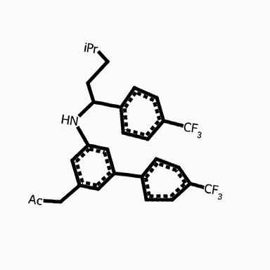 CC(=O)Cc1cc(NC(CCC(C)C)c2ccc(C(F)(F)F)cc2)cc(-c2ccc(C(F)(F)F)cc2)c1